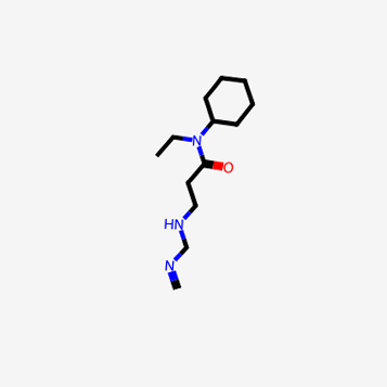 C=NCNCCC(=O)N(CC)C1CCCCC1